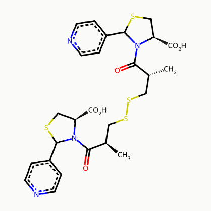 C[C@H](CSSC[C@@H](C)C(=O)N1C(c2ccncc2)SC[C@H]1C(=O)O)C(=O)N1C(c2ccncc2)SC[C@H]1C(=O)O